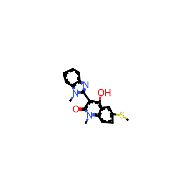 CSc1ccc2c(c1)c(O)c(-c1nc3ccccc3n1C)c(=O)n2C